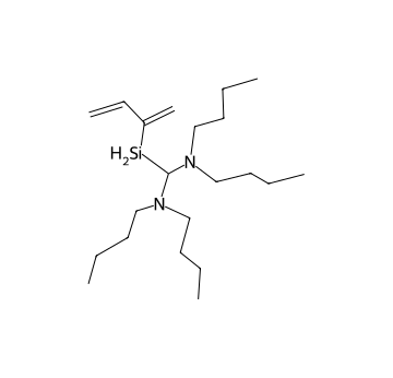 C=CC(=C)[SiH2]C(N(CCCC)CCCC)N(CCCC)CCCC